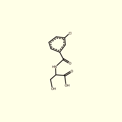 O=C(NC(CO)C(=O)O)c1cccc(Cl)c1